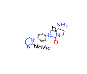 CC(=O)NC1=NCCCN1c1ccc(N2C[C@@H]3[C@H](N)CCN3C2=O)cc1